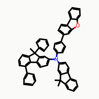 CC1(C)c2ccccc2-c2ccc(N(c3ccc(-c4ccc5c(c4)oc4ccccc45)cc3)c3ccc4c(c3)C(C)(c3ccccc3)c3cccc(-c5ccccc5)c3-4)cc21